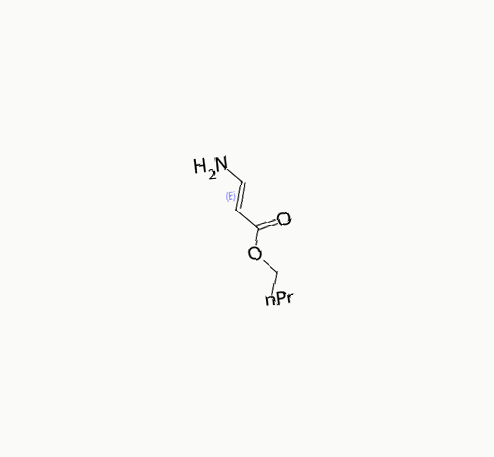 CCCCOC(=O)/C=C/N